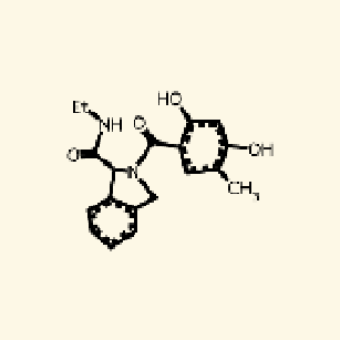 CCNC(=O)C1c2ccccc2CN1C(=O)c1cc(C)c(O)cc1O